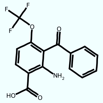 Nc1c(C(=O)O)ccc(OC(F)(F)F)c1C(=O)c1ccccc1